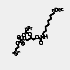 CCCCCCCCCCCCCCCCCCNC(=O)OCC(COP(=O)([O-])OCC[N+](C)(C)C)OC(=O)CCC